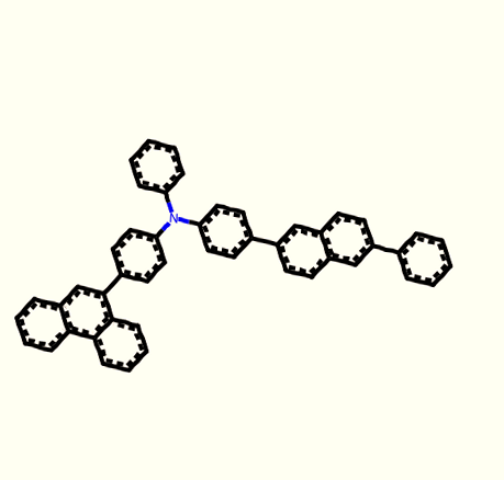 c1ccc(-c2ccc3cc(-c4ccc(N(c5ccccc5)c5ccc(-c6cc7ccccc7c7ccccc67)cc5)cc4)ccc3c2)cc1